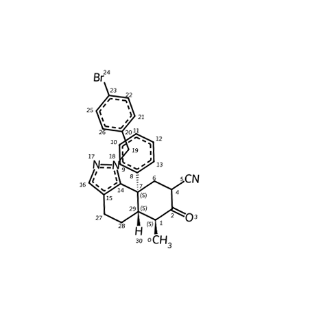 C[C@@H]1C(=O)C(C#N)C[C@]2(c3ccccc3)c3c(cnn3Cc3ccc(Br)cc3)CC[C@@H]12